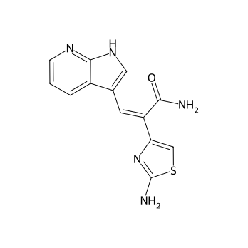 NC(=O)C(=Cc1c[nH]c2ncccc12)c1csc(N)n1